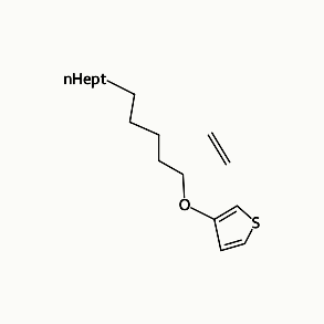 C=C.CCCCCCCCCCCCOc1ccsc1